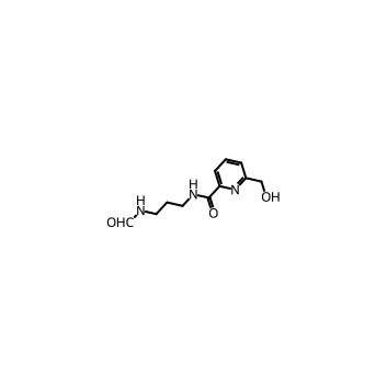 O=CNCCCNC(=O)c1cccc(CO)n1